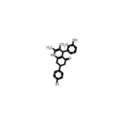 CCc1ccc(C2CC(=O)C3=C(C2)NC(C)=C(C(=O)O)C3c2cccc(O)c2)cc1